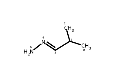 CC(C)/C=N/N